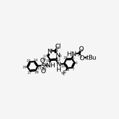 CC(C)(C)OC(=O)Nc1ccc(F)c(Nc2nc(Cl)ncc2NS(=O)(=O)c2ccccc2)c1